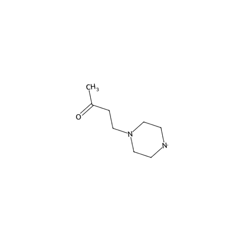 CC(=O)CCN1CC[N]CC1